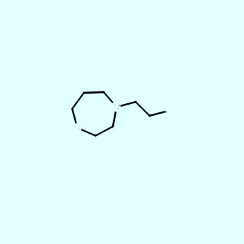 Cl.FCCN1CCCNCC1